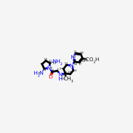 CC1(NCC(=O)N2[C@H](N)CC[C@@H]2N)CCN(c2cc(C(=O)O)ccn2)CC1